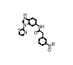 O=C(Cc1cccc([N+](=O)[O-])c1)Nc1ccc2[nH]c[n+](-c3nccs3)c2c1